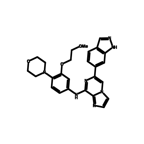 COCCOc1cc(Nc2nc(-c3ccc4cn[nH]c4c3)cn3ccnc23)ccc1N1CCOCC1